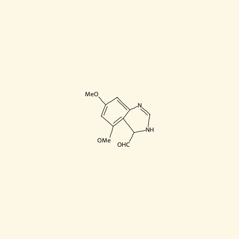 COc1cc2c(c(OC)c1)C(C=O)NC=N2